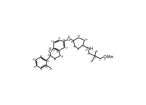 COCC(C)(C)CNC1CCC(Oc2ccc3c(c2)CCC(c2ccccc2C)O3)CC1